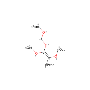 CCCCCCCCOC(CCCCC)=C(OCCCCCCCC)OCOCCCCC